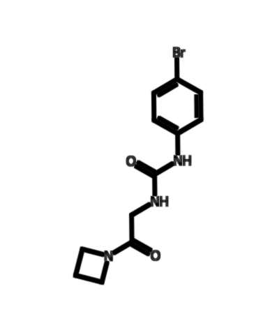 O=C(NCC(=O)N1CCC1)Nc1ccc(Br)cc1